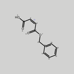 O=C(O)/C=C\C(=O)OCc1ccccc1